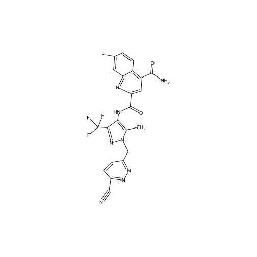 Cc1c(NC(=O)c2cc(C(N)=O)c3ccc(F)cc3n2)c(C(F)(F)F)nn1Cc1ccc(C#N)nn1